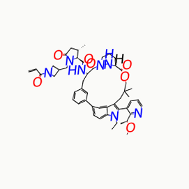 C=CC(=O)N1CC(CN2C(=O)C[C@H](C)[C@H]2C(=O)N[C@H]2Cc3cccc(c3)-c3ccc4c(c3)c(c(-c3cccnc3[C@H](C)OC)n4CC)CC(C)(C)COC(=O)[C@@H]3CCCN(N3)C2=O)C1